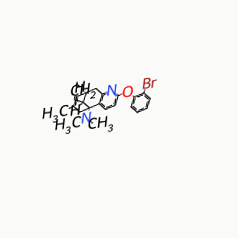 C=C[C@@H]1[C@H]2C=C(C)C[C@]1(N(C)C)c1ccc(Oc3ccccc3Br)nc1C2